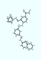 COC(=O)c1ccc(COc2cccc(OCc3ccc4ccccc4n3)c2)c(OCc2nnn[nH]2)c1